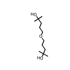 CC(C)(O)CCCOCCCC(C)(C)O